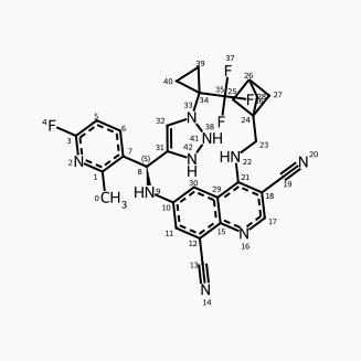 Cc1nc(F)ccc1[C@H](Nc1cc(C#N)c2ncc(C#N)c(NCC34CC(C3)C4)c2c1)C1=CN(C2(C(F)(F)F)CC2)NN1